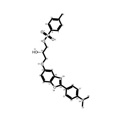 Cc1ccc(S(=O)(=O)OC[C@@H](O)COc2ccc3oc(-c4ccc(N(C)C)cc4)nc3c2)cc1